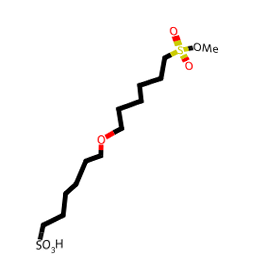 COS(=O)(=O)CCCCCCOCCCCCCS(=O)(=O)O